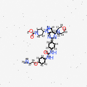 COC(=O)N1CCC(n2ncc3c(N4C5CCC4COC5)nc(-c4ccc(NC(=O)Nc5ccc(OCCN(C)C)cc5)cc4)nc32)CC1